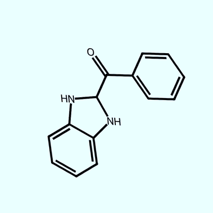 O=C(c1ccccc1)C1Nc2ccccc2N1